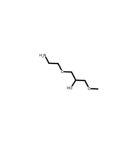 COCC(O)COCCN